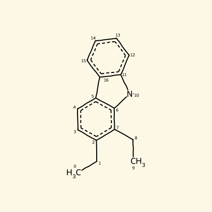 CCc1ccc2c(c1CC)[N]c1ccccc1-2